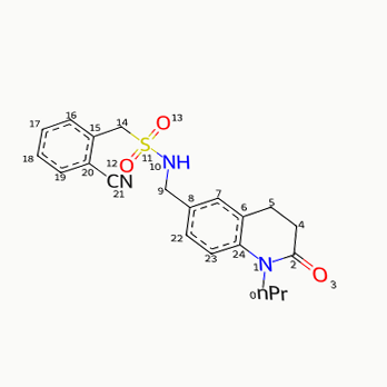 CCCN1C(=O)CCc2cc(CNS(=O)(=O)Cc3ccccc3C#N)ccc21